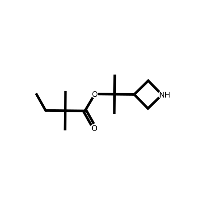 CCC(C)(C)C(=O)OC(C)(C)C1CNC1